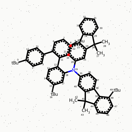 CC(C)(C)c1ccc(-c2ccc(C(C)(C)C)cc2-c2ccc(C(C)(C)C)cc2N(c2ccc3c(c2)C(C)(C)c2ccccc2-3)c2ccc3c(c2)C(C)(C)c2cccc(C(C)(C)C)c2-3)cc1